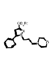 CCOC(=O)c1cc(-c2ccccc2)n(CCCN2CCOCC2)n1